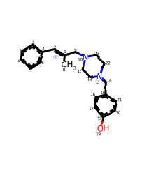 C/C(=C\c1ccccc1)CN1CCN(Cc2ccc(O)cc2)CC1